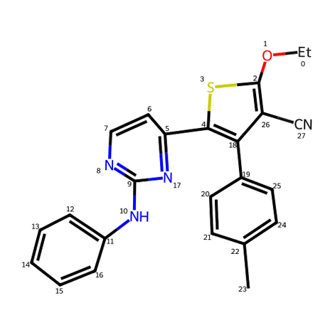 CCOc1sc(-c2ccnc(Nc3ccccc3)n2)c(-c2ccc(C)cc2)c1C#N